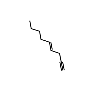 [C]#CCC=CCCCC